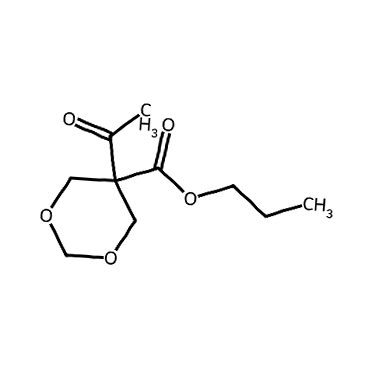 CCCOC(=O)C1(C(C)=O)COCOC1